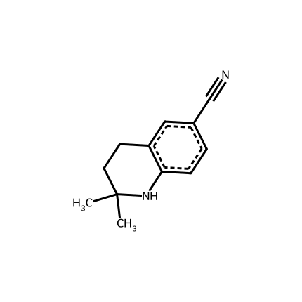 CC1(C)CCc2cc(C#N)ccc2N1